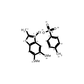 CC[n+]1c(C)sc2cc(SC)c(SC)cc21.Cc1ccc(S(=O)(=O)[O-])cc1